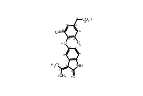 CC(C)=C1C(=O)Nc2ccc(Oc3c(Cl)cc(CC(=O)O)cc3Cl)cc21